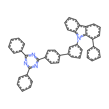 c1ccc(-c2nc(-c3ccccc3)nc(-c3ccc(-c4cccc(-n5c6ccccc6c6cccc(-c7ccccc7)c65)c4)cc3)n2)cc1